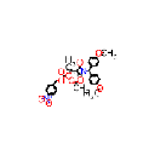 COc1ccc(C(c2ccc(OC)cc2)N2C(=O)[C@H]([C@@H](C)OC(=O)OCc3ccc([N+](=O)[O-])cc3)[C@H]2OC(C)=O)cc1